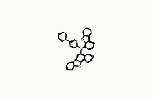 c1ccc(-c2ccc(N(c3cc4c5ccccc5sc4c4ccccc34)c3cccc4c3oc3ccccc34)cc2)cc1